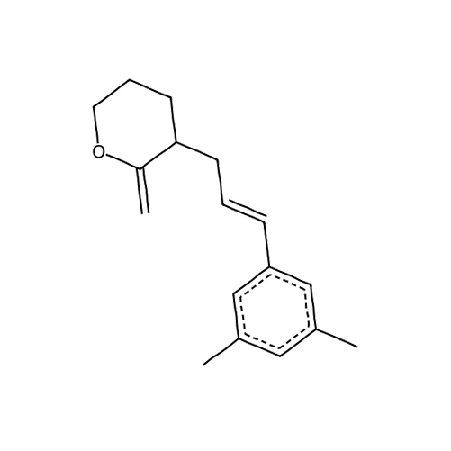 C=C1OCCCC1C/C=C/c1cc(C)cc(C)c1